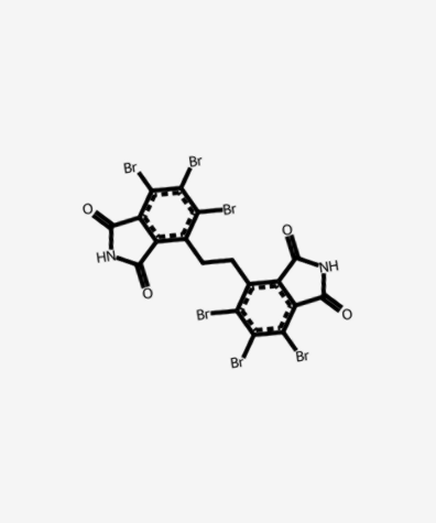 O=C1NC(=O)c2c(CCc3c(Br)c(Br)c(Br)c4c3C(=O)NC4=O)c(Br)c(Br)c(Br)c21